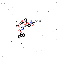 C=CC(=O)OCC(C)(C)C(=O)C(=O)N1CCCC[C@H]1C(=O)O[C@H](CCN1CCN(C(=O)OCC2c3ccccc3-c3ccccc32)CC1)c1cccc(NC(=O)CCC(=O)O)c1